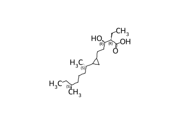 CC[C@H](C)CCC[C@H](C)C1CC1CC[C@@H](O)[C@@H](CC)C(=O)O